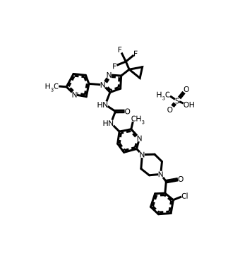 CS(=O)(=O)O.Cc1ccc(-n2nc(C3(C(F)(F)F)CC3)cc2NC(=O)Nc2ccc(N3CCN(C(=O)c4ccccc4Cl)CC3)nc2C)cn1